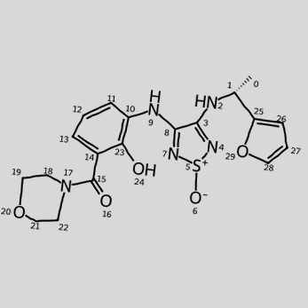 C[C@@H](Nc1n[s+]([O-])nc1Nc1cccc(C(=O)N2CCOCC2)c1O)c1ccco1